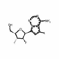 C[C@H]1[C@H](F)[C@H](c2cc(I)c3c(N)ncnn23)O[C@@H]1CO